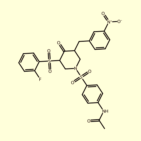 CC(=O)Nc1ccc(S(=O)(=O)N2CC(Cc3cccc([N+](=O)[O-])c3)C(=O)C(S(=O)(=O)c3ccccc3F)C2)cc1